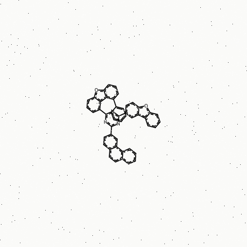 C1=C=CC(c2cccc3oc4cccc(-c5nc(-c6ccc7ccc8ccccc8c7c6)nc(-c6ccc7oc8ccccc8c7c6)n5)c4c23)=CC=1